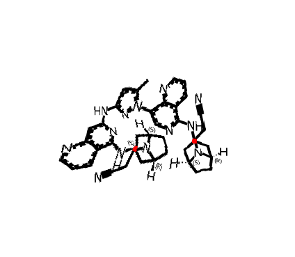 Cc1cc(Nc2cc3ncccc3c(N[C@@H]3C[C@H]4CC[C@@H](C3)N4CCC#N)n2)nn1-c1cnc(NC2C[C@H]3CC[C@@H](C2)N3CCC#N)c2cccnc12